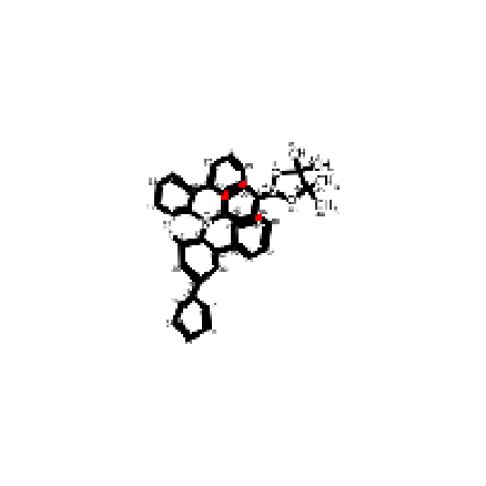 CC1(C)OB(c2ccc(N(c3ccccc3-c3ccccc3)c3c(F)cc(-c4ccccc4)cc3-c3ccccc3)cc2)OC1(C)C